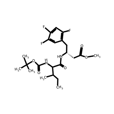 CCC(C)C(NC(=O)OC(C)(C)C)C(=O)N[C@@H](CC(=O)OC)Cc1cc(F)c(F)cc1F